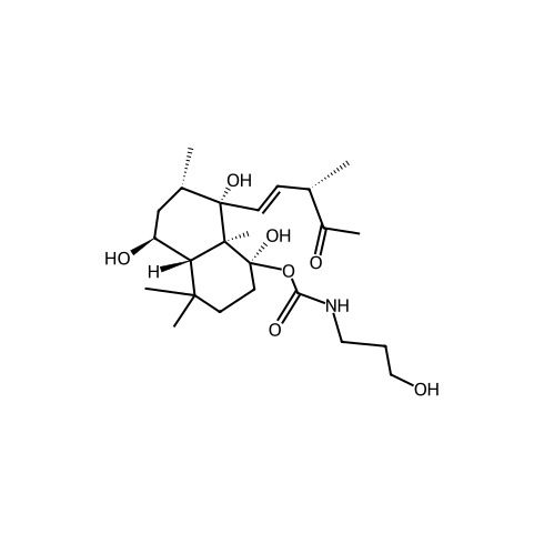 CC(=O)[C@@H](C)C=C[C@]1(O)[C@@H](C)C[C@H](O)[C@H]2C(C)(C)CC[C@](O)(OC(=O)NCCCO)[C@@]21C